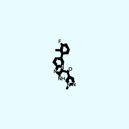 Cc1c(F)cccc1-c1ccc2nc(N)c(C(=O)c3cnn(C)c3)n2c1